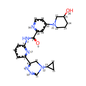 O=C(Nc1cccc(C2=NN=CN(C3CC3)C2)n1)c1cc(N2CCCC(O)C2)ccn1